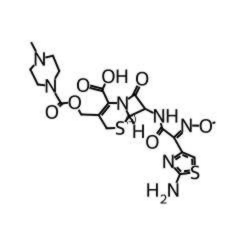 CON=C(C(=O)NC1C(=O)N2C(C(=O)O)=C(COC(=O)N3CCN(C)CC3)CS[C@@H]12)c1csc(N)n1